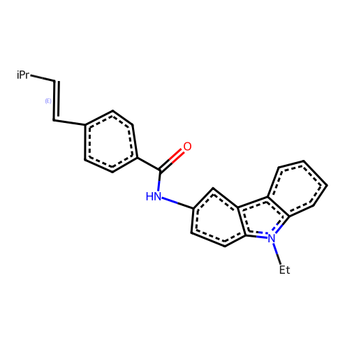 CCn1c2ccccc2c2cc(NC(=O)c3ccc(/C=C/C(C)C)cc3)ccc21